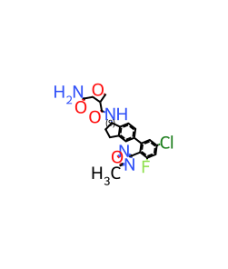 Cc1nc(-c2c(F)cc(Cl)cc2-c2ccc3c(c2)CC[C@@H]3NC(=O)C2COC2C(N)=O)no1